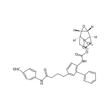 C[N+]1(C)[C@@H]2CC(OC(=O)Nc3ccc(CCCC(=O)Nc4ccc(C=O)cc4)cc3-c3ccccc3)C[C@H]1[C@@H]1O[C@@H]12